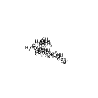 COC(=O)[C@H](COC(C)=O)NC(=O)[C@H](CO[Si](C)(C)C(C)(C)C)NC(=O)c1csc(N2CCC(NC(=O)CC3CCOCC3)CC2)n1